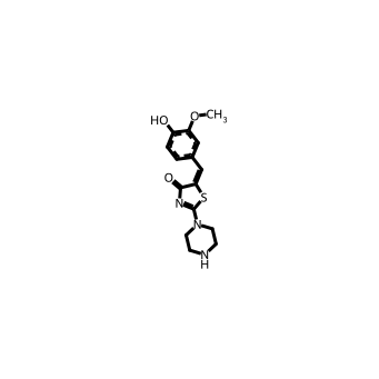 COc1cc(C=C2SC(N3CCNCC3)=NC2=O)ccc1O